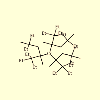 CCC(C)(CC)C[C](C)([Cr]([C](C)(CC(C)(CC)CC)C(CC)(CC)CC)[C](C)(CC(C)(CC)CC)C(CC)(CC)CC)C(CC)(CC)CC